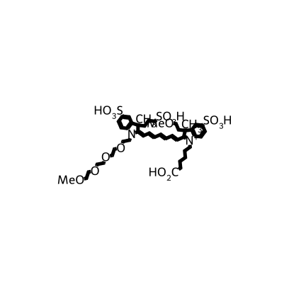 COCCOCCOCCOCCN1/C(=C/C=C/C=C/C=C/C2=[N+](CCCCCC(=O)O)c3ccc(S(=O)(=O)O)cc3C2(C)CCOC)C(C)(CCCS(=O)(=O)O)c2cc(S(=O)(=O)O)ccc21